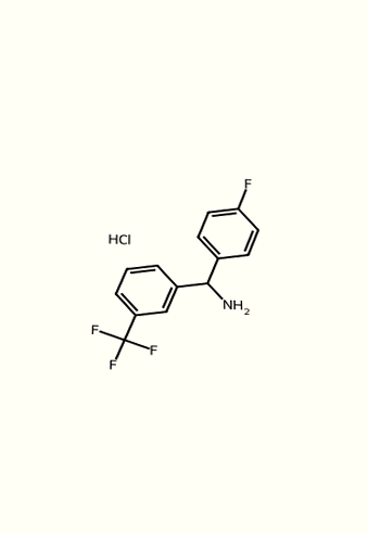 Cl.NC(c1ccc(F)cc1)c1cccc(C(F)(F)F)c1